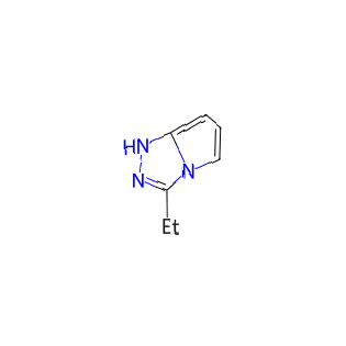 CCc1n[nH]c2cccn12